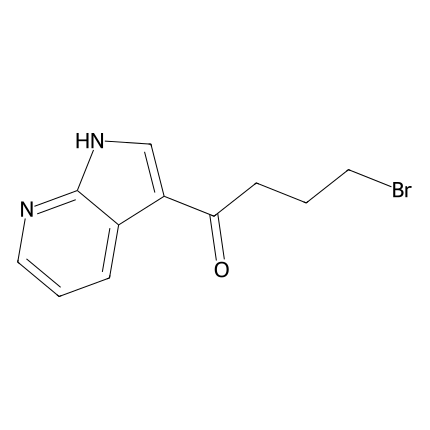 O=C(CCCBr)c1c[nH]c2ncccc12